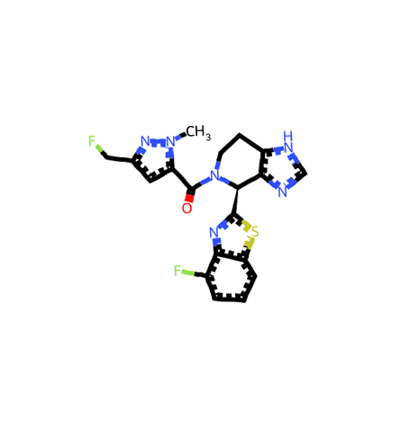 Cn1nc(CF)cc1C(=O)N1CCc2[nH]cnc2[C@H]1c1nc2c(F)cccc2s1